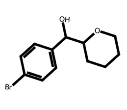 OC(c1ccc(Br)cc1)C1CCCCO1